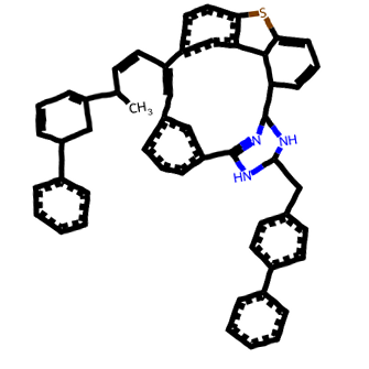 CC(/C=C\C1=C/c2cccc(c2)C2=NC(NC(Cc3ccc(-c4ccccc4)cc3)N2)C2C=CC=C3Sc4ccc1cc4C32)C1=CC=CC(c2ccccc2)C1